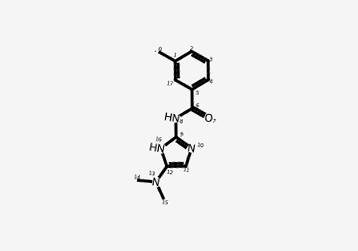 [CH2]c1cccc(C(=O)Nc2ncc(N(C)C)[nH]2)c1